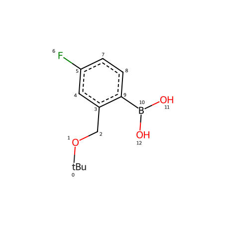 CC(C)(C)OCc1cc(F)ccc1B(O)O